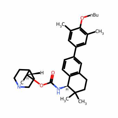 CCCCOc1c(C)cc(-c2ccc3c(c2)CCC(C)(C)[C@H]3NC(=O)O[C@@H]2CN3CCC2CC3)cc1C